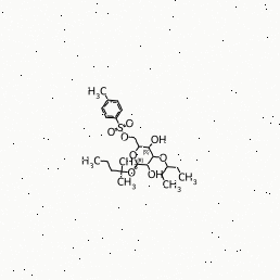 CCCC(C)(C)O[C@H]1OC(COS(=O)(=O)c2ccc(C)cc2)[C@@H](O)C(OC(CC)CC)C1O